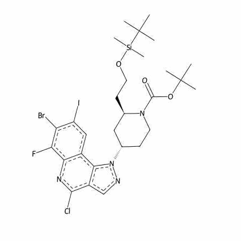 CC(C)(C)OC(=O)N1CC[C@H](n2ncc3c(Cl)nc4c(F)c(Br)c(I)cc4c32)C[C@H]1CCO[Si](C)(C)C(C)(C)C